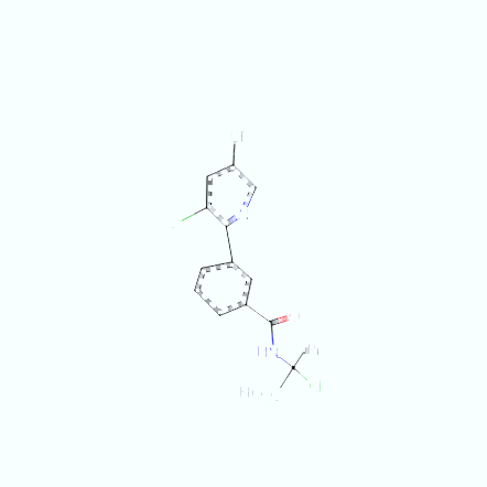 CC(C)C(Cl)(NC(=O)c1cccc(-c2ncc(C(F)(F)F)cc2Cl)c1)C(=O)O